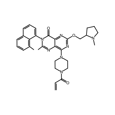 C=CC(=O)N1CCN(c2nc(OCC3CCCN3C)nc3c(=O)n(-c4cccc5cccc(C)c45)c(C)nc23)CC1